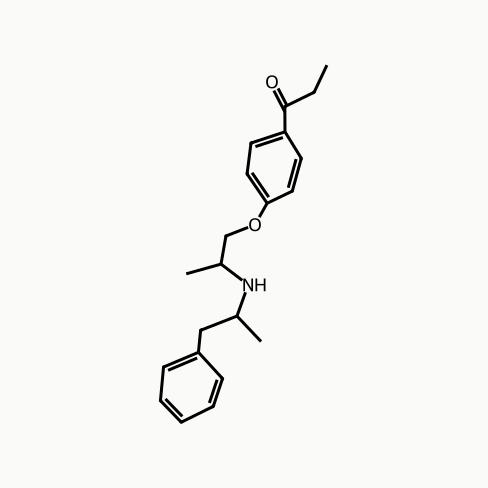 CCC(=O)c1ccc(OCC(C)NC(C)Cc2ccccc2)cc1